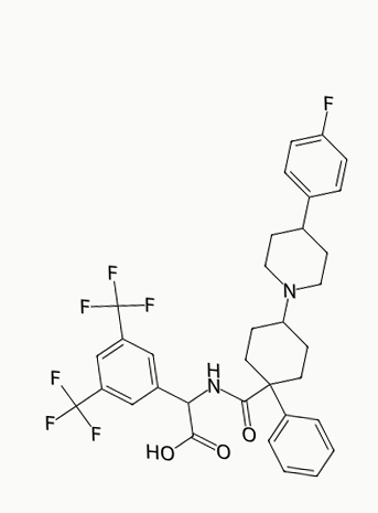 O=C(O)C(NC(=O)C1(c2ccccc2)CCC(N2CCC(c3ccc(F)cc3)CC2)CC1)c1cc(C(F)(F)F)cc(C(F)(F)F)c1